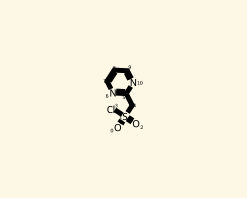 O=S(=O)(Cl)Cc1ncccn1